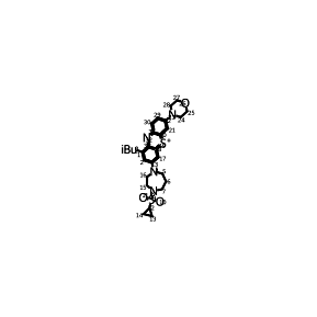 CCC(C)c1cc(N2CCCN(S(=O)(=O)C3CC3)CC2)cc2[s+]c3cc(N4CCOCC4)ccc3nc12